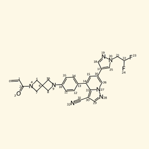 C=CC(=O)N1CC2(C1)CN(c1ccc(-c3cc(-c4cnn(CC(F)F)c4)cn4ncc(C#N)c34)cc1)C2